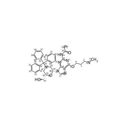 C=NCCCOc1nc(NC(=O)C(C)C)nc2c1ncn2[C@H]1CN(C(c2ccccc2)(c2ccccc2)c2ccccc2)C[C@@H](CO)O1